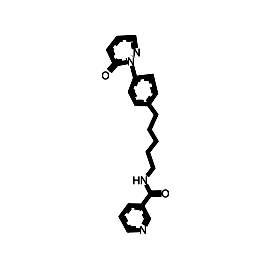 O=C(NCCCCCc1ccc(-n2ncccc2=O)cc1)c1cccnc1